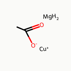 CC(=O)[O-].[Cu+].[MgH2]